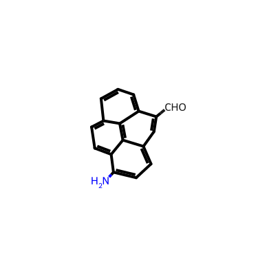 Nc1ccc2cc(C=O)c3cccc4ccc1c2c43